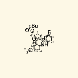 CCCCC(=O)OC[C@H]1CC[C@@H]2[C@H](O1)c1cc(C(F)(F)F)ccc1N[C@H]2c1cccc(F)c1